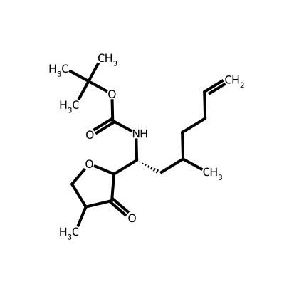 C=CCCC(C)C[C@@H](NC(=O)OC(C)(C)C)C1OCC(C)C1=O